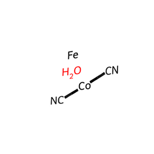 N#[C][Co][C]#N.O.[Fe]